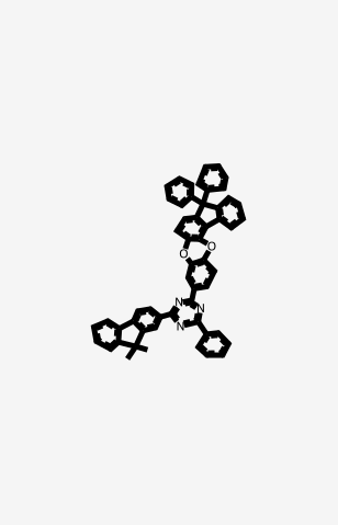 CC1(C)c2ccccc2-c2ccc(-c3nc(-c4ccccc4)nc(-c4ccc5c(c4)Oc4ccc6c(c4O5)-c4ccccc4C6(c4ccccc4)c4ccccc4)n3)cc21